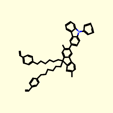 C=Cc1ccc(CCCCCCC2(CCCCCCc3ccc(C=C)cc3)c3cc(C)ccc3-c3cc(-c4ccc5c(c4)c4ccccc4n5-c4ccccc4)c(C)cc32)cc1